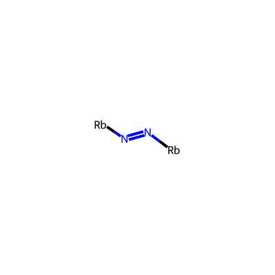 [Rb][N]=[N][Rb]